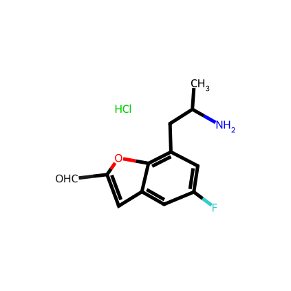 CC(N)Cc1cc(F)cc2cc(C=O)oc12.Cl